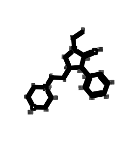 CCN1CC(CCN2CCOCC2)C(c2ccccc2)C1=O